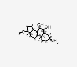 C=C=C1CCC2C3C(CC[C@]12C)[C@@]1(C)CC[C@H](N)CC1[C@@H](O)[C@@H]3O